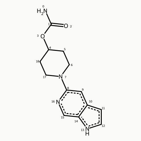 NC(=O)OC1CCN(c2cc3cc[nH]c3cn2)CC1